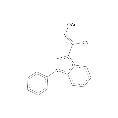 CC(=O)O/N=C(\C#N)c1cn(-c2ccccc2)c2ccccc12